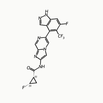 O=C(Nc1cn2cc(-c3c(C(F)(F)F)c(F)cc4[nH]ncc34)ncc2n1)[C@@H]1C[C@@H]1F